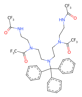 O=C(NCCN(CCN(CCN(CCNC(=O)C(F)(F)F)C(=O)C(F)(F)F)C(c1ccccc1)(c1ccccc1)c1ccccc1)C(=O)C(F)(F)F)C(F)(F)F